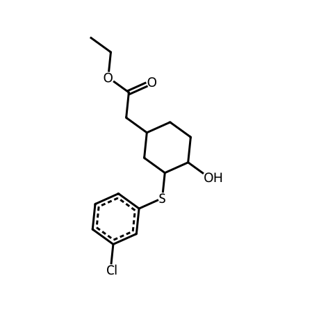 CCOC(=O)CC1CCC(O)C(Sc2cccc(Cl)c2)C1